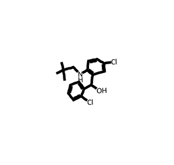 CC(C)(C)CNc1ccc(Cl)cc1C(O)c1ccccc1Cl